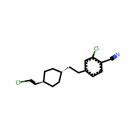 N#Cc1ccc(CC[C@H]2CC[C@H](/C=C/Cl)CC2)cc1Cl